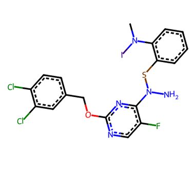 CN(I)c1ccccc1SN(N)c1nc(OCc2ccc(Cl)c(Cl)c2)ncc1F